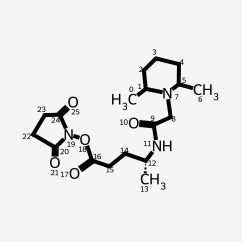 CC1CCCC(C)N1CC(=O)N[C@H](C)CCC(=O)ON1C(=O)CCC1=O